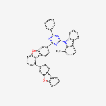 Cc1cccc2c3ccccc3n(-c3nc(-c4ccccc4)nc(-c4ccc5c(c4)oc4cccc(-c6ccc7c(c6)oc6ccccc67)c45)n3)c12